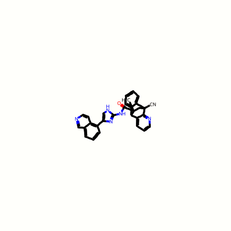 CC1(C(=O)Nc2nc(-c3cccc4cnccc34)c[nH]2)CC2(C#N)c3ccccc3C1c1cccnc12